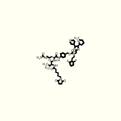 Cc1cccc(-c2nc(CN(CCc3c(F)cccc3F)C(=O)OCc3ccc(NC(=O)[C@H](CCCNC(N)=O)NC(=O)C(NC(=O)CCCCCN4C(=O)C=CC4=O)C(C)C)cc3)[nH]c2-c2ccncc2)n1